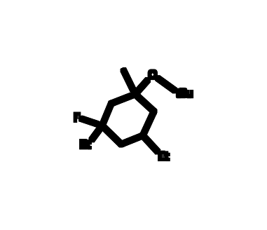 CCC1CC(F)(CC)CC(C)(OC(C)(C)C)C1